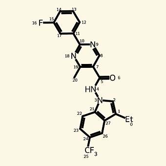 CCc1cn(NC(=O)c2cnc(-c3cccc(F)c3)nc2C)c2ccc(C(F)(F)F)cc12